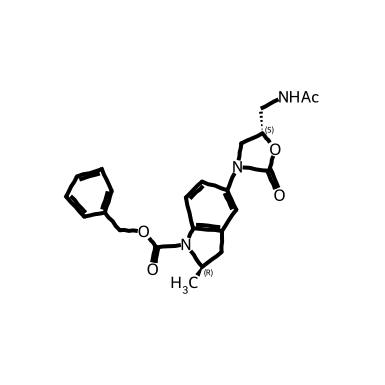 CC(=O)NC[C@H]1CN(c2ccc3c(c2)C[C@@H](C)N3C(=O)OCc2ccccc2)C(=O)O1